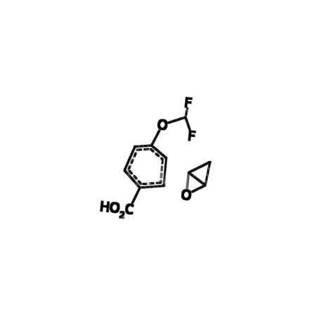 C1C2OC12.O=C(O)c1ccc(OC(F)F)cc1